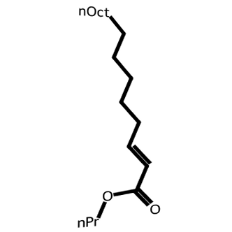 CCCCCCCCCCCCCC=CC(=O)OCCC